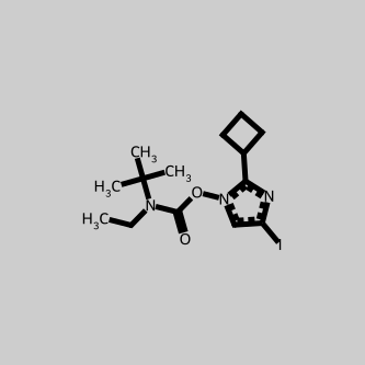 CCN(C(=O)On1cc(I)nc1C1CCC1)C(C)(C)C